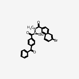 CN(C(=O)c1ccc2cc(Br)ccc2c1)N(C(=O)c1ccc(C(=O)c2ccccc2)cc1)C(C)(C)C